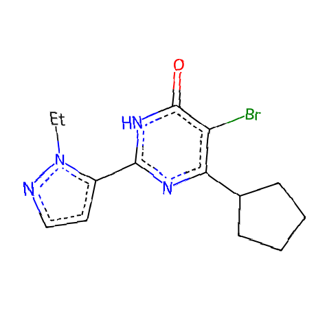 CCn1nccc1-c1nc(C2CCCC2)c(Br)c(=O)[nH]1